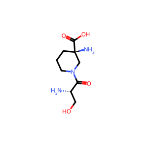 N[C@@H](CO)C(=O)N1CCC[C@](N)(C(=O)O)C1